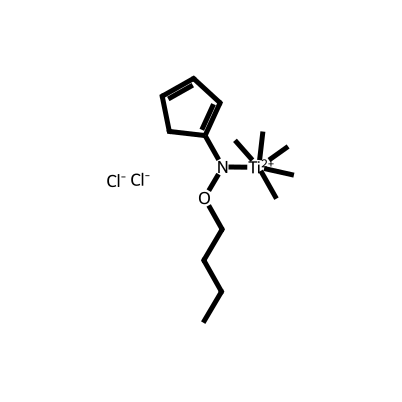 CCCCO[N](C1=CC=CC1)[Ti+2]([CH3])([CH3])([CH3])([CH3])[CH3].[Cl-].[Cl-]